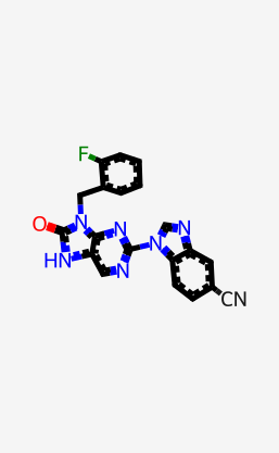 N#Cc1ccc2c(c1)ncn2-c1ncc2[nH]c(=O)n(Cc3ccccc3F)c2n1